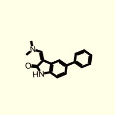 CN(C)/C=C1\C(=O)Nc2ccc(-c3ccccc3)cc21